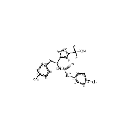 CC(C)(O)c1nnc([C@H](Cc2ccc(Cl)cc2)NC(=O)Nc2ccc(Cl)cc2)o1